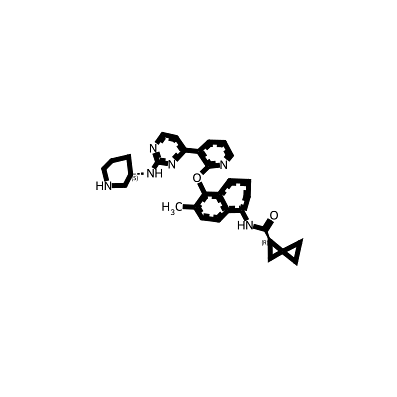 Cc1ccc2c(NC(=O)[C@@H]3CC34CC4)cccc2c1Oc1ncccc1-c1ccnc(N[C@H]2CCCNC2)n1